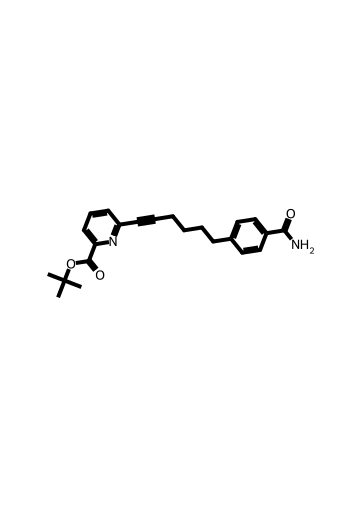 CC(C)(C)OC(=O)c1cccc(C#CCCCCc2ccc(C(N)=O)cc2)n1